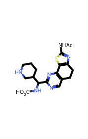 CC(=O)Nc1nc2c(s1)-c1nc(C(NC(=O)O)C3CCCNC3)ncc1CC2